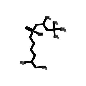 CCC(C)CCCCP(=O)(O)CC(C)CC(C)(C)C